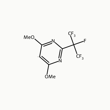 COc1[c]c(OC)nc(C(F)(C(F)(F)F)C(F)(F)F)n1